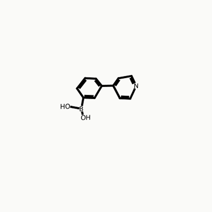 OB(O)c1cccc(-c2ccncc2)c1